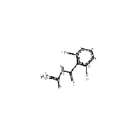 C=C(Cl)NC(=O)c1c(F)cccc1F